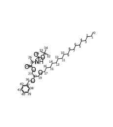 CCCCCCCCCCCCCCCCCCOC[C@H](COC(=O)C(C)NC(=O)OC(C)(C)C)OCc1ccccc1